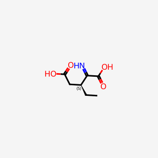 CC[C@@H](CC(=O)O)C(=N)C(=O)O